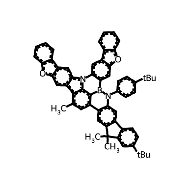 Cc1cc2c3c4c1c1cc5oc6ccccc6c5cc1n4-c1cc4c(cc1B3N(c1ccc(C(C)(C)C)cc1)c1cc3c(cc1-2)C(C)(C)c1cc(C(C)(C)C)ccc1-3)oc1ccccc14